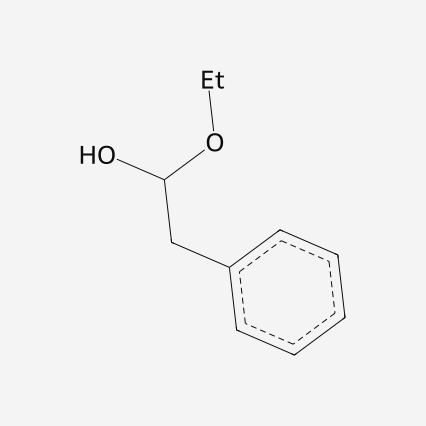 [CH2]COC(O)Cc1ccccc1